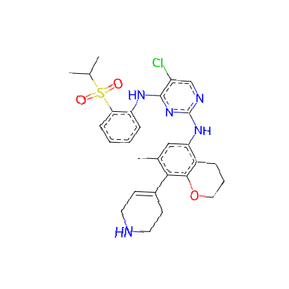 Cc1cc(Nc2ncc(Cl)c(Nc3ccccc3S(=O)(=O)C(C)C)n2)c2c(c1C1=CCNCC1)OCCC2